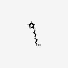 OCCOCCOc1cccs1